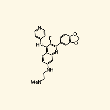 CNCCNc1ccc2c(Nc3ccncc3)c(F)c(-c3ccc4c(c3)OCO4)nc2c1